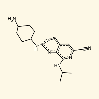 CC(C)Nc1nc(C#N)cc2cnc(NC3CCC(N)CC3)nc12